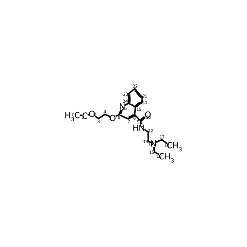 CCOCCOc1cc(C(=O)NCCN(CC)CC)c2ccccc2n1